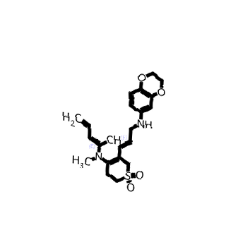 C=C/C=C(\C)N(C)C1=C(/C=C/CNc2ccc3c(c2)OCCO3)CS(=O)(=O)CC1